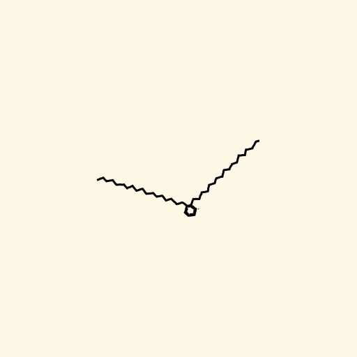 CCCCCCCCCCCCCCCCCCc1[c]cccc1CCCCCCCCCCCCCCCCCC